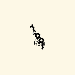 CCCOC1CCC2C3CCC(OCCCC(C)C)CC3OC2C1S